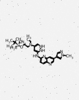 CCN(CCO[Si](C)(C)C(C)(C)C)C1=CNNC(Nc2ccc3ncc(-c4cnn(C)c4)cc3n2)=C1